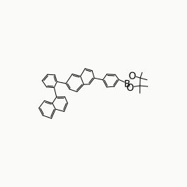 CC1(C)OB(c2ccc(-c3ccc4cc(-c5ccccc5-c5cccc6ccccc56)ccc4c3)cc2)OC1(C)C